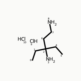 CCC(N)(CC)CCN.Cl.Cl